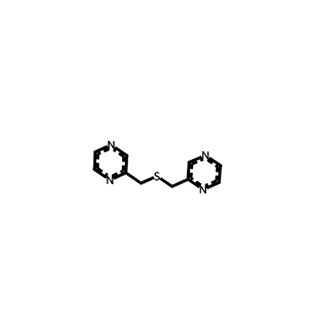 c1cnc(CSCc2cnccn2)cn1